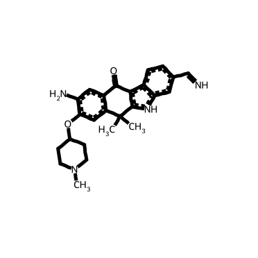 CN1CCC(Oc2cc3c(cc2N)C(=O)c2c([nH]c4cc(C=N)ccc24)C3(C)C)CC1